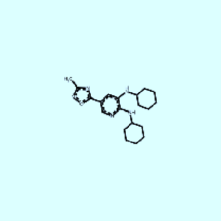 Cc1noc(-c2cnc(NC3CCCCC3)c(NC3CCCCC3)c2)n1